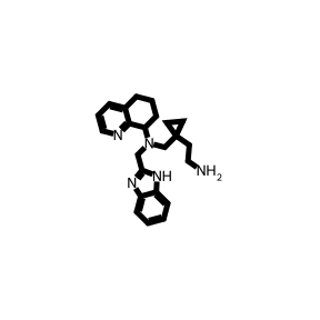 NCCC1(CN(Cc2nc3ccccc3[nH]2)C2CCCc3cccnc32)CC1